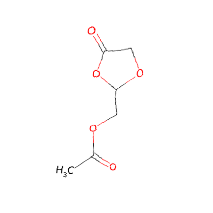 CC(=O)OCC1OCC(=O)O1